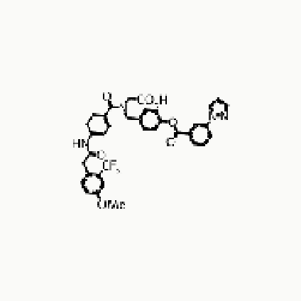 COc1ccc(CC(=O)NC2=CC=C(C(=O)N(CC(=O)O)Cc3ccc(OC(=O)c4cccc(-n5cccn5)c4)cc3)CC2)c(C(F)(F)F)c1